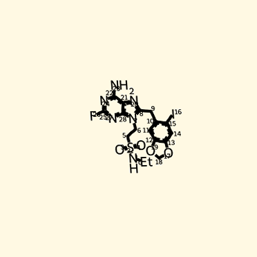 CCNS(=O)(=O)CCn1c(Cc2cc3c(cc2I)OCO3)nc2c(N)nc(F)nc21